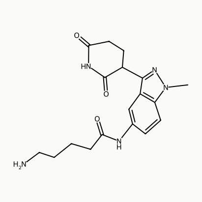 Cn1nc(C2CCC(=O)NC2=O)c2cc(NC(=O)CCCCN)ccc21